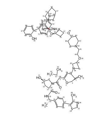 C=C1COC([C@H](C(=O)N2C[C@H](O)C[C@H]2C(=O)N[C@@H](C)c2ccc(-c3scnc3C)cc2)C(C)C)=CC1N1CC(OCCN2CCC(O[C@H]3C[C@H](Oc4cc(N5C6CCC5CN(c5cc(-c7ccccc7O)nnc5N)C6)ccn4)C3)CC2)C1